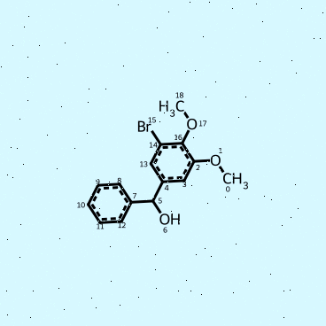 COc1cc(C(O)c2ccccc2)cc(Br)c1OC